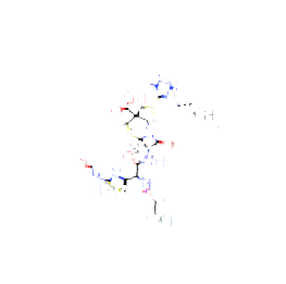 C=CCn1nnnc1SCC1(C(=O)O)CS[C@@H]2C(NC(=O)C(=NOCCCl)c3csc(NC=O)n3)C(=O)N2C1